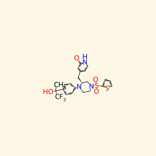 CC(O)(c1ccc(N2CCN(S(=O)(=O)c3cccs3)C[C@@H]2Cc2cc[nH]c(=O)c2)cc1)C(F)(F)F